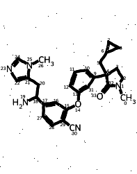 CN1CCC(CC2CC2)(c2cccc(Oc3cc(C(N)Cc4cncn4C)ccc3C#N)c2)C1=O